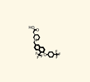 O=C(O)C[C@H]1CCCN(Cc2ccc3c(C(F)(F)F)c(OC4CCC(C(F)(F)F)CC4)ccc3c2)C1